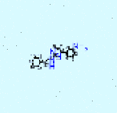 Nc1cccc(-c2ccnc(NCCC3CCCCC3)n2)c1